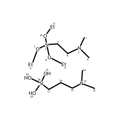 CCO[Si](CCN(C)C)(OCC)OCC.CN(C)CCC[Si](O)(O)O